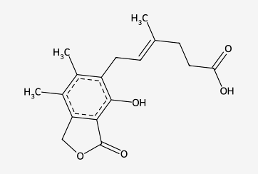 C/C(=C\Cc1c(C)c(C)c2c(c1O)C(=O)OC2)CCC(=O)O